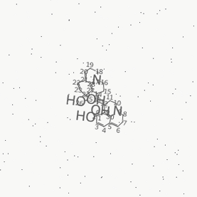 OC1(O)C=CC2=CCCN3CCC(CC4CCN5CCC=C6C=CC(O)(O)C4=C65)C1=C23